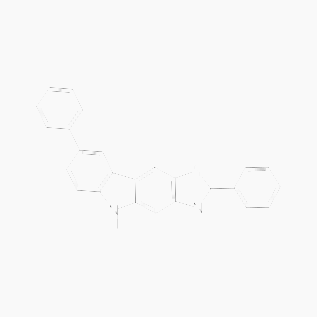 c1ccc(-c2ccc3[nH]c4cc5c(cc4c3c2)SC(c2ccccc2)N5)cc1